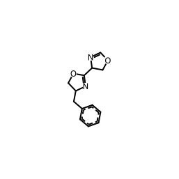 C1=NC(C2=NC(Cc3ccccc3)CO2)CO1